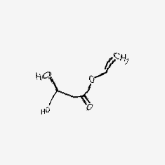 C=COC(=O)C(O)O